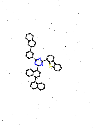 c1cc(-c2ccc3ccccc3c2)cc(-c2nc(-c3ccc(-c4cccc5ccccc45)c4ccccc34)nc(-c3cccc4c3sc3ccccc34)n2)c1